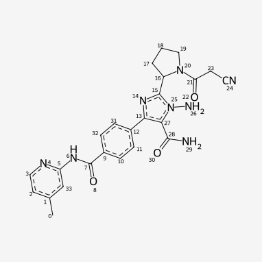 Cc1ccnc(NC(=O)c2ccc(-c3nc(C4CCCN4C(=O)CC#N)n(N)c3C(N)=O)cc2)c1